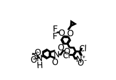 CS(=O)(=O)Nc1ccc2c(c1)C(=O)N(CC(=O)OC(Cc1c(Cl)c[n+]([O-])cc1Cl)c1ccc(OC(F)F)c(OCC3CC3)c1)C2